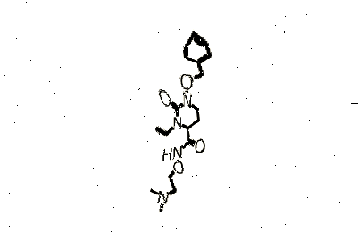 CCN1C(=O)N(OCc2ccccc2)CC[C@H]1C(=O)NOCCN(C)C